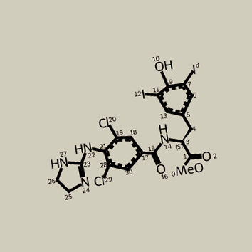 COC(=O)[C@H](Cc1cc(I)c(O)c(I)c1)NC(=O)c1cc(Cl)c(NC2=NCCN2)c(Cl)c1